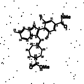 CNC(=O)c1cc(F)c(-c2nc3cc(C)ccn3c2C[C@@H]2CCCN(C(=O)OC)CC2)c(F)c1